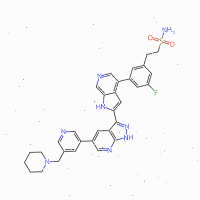 NS(=O)(=O)CCc1cc(F)cc(-c2cncc3[nH]c(-c4n[nH]c5ncc(-c6cncc(CN7CCCCC7)c6)cc45)cc23)c1